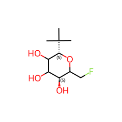 CC(C)(C)[C@@H]1OC(CF)[C@@H](O)C(O)C1O